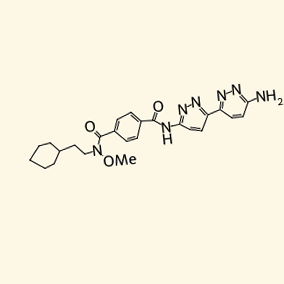 CON(CCC1CCCCC1)C(=O)c1ccc(C(=O)Nc2ccc(-c3ccc(N)nn3)nn2)cc1